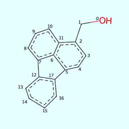 OCc1ccc2c3c(cccc13)-c1ccccc1-2